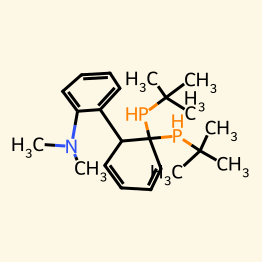 CN(C)c1ccccc1C1C=CC=CC1(PC(C)(C)C)PC(C)(C)C